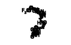 CC(CCNC(=O)C(C)(C)CC(C)(C)CCNc1cccc2c1C(=O)N(C1CCC(=O)NC1=O)C2=O)Cn1cc(-c2ccc3c(c2)CCN3C(=O)Cc2cccc(OC(F)(F)F)c2)c2c(N)ncnc21